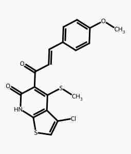 COc1ccc(/C=C/C(=O)c2c(SC)c3c(Cl)csc3[nH]c2=O)cc1